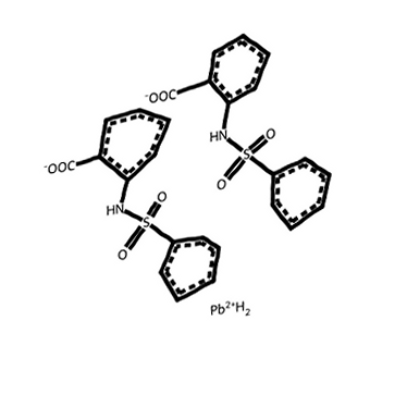 O=C([O-])c1ccccc1NS(=O)(=O)c1ccccc1.O=C([O-])c1ccccc1NS(=O)(=O)c1ccccc1.[PbH2+2]